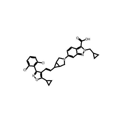 O=C(O)c1c2ccc(N3CC4C(/C=C/c5c(-c6c(Cl)cccc6Cl)noc5C5CC5)C4C3)cc2nn1CC1CC1